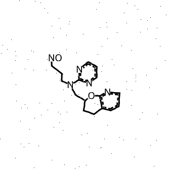 O=NCCCN(CC1CCc2cccnc2O1)c1ncccn1